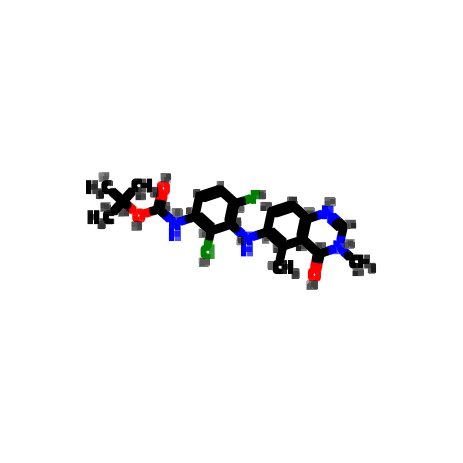 Cc1c(Nc2c(F)ccc(NC(=O)OC(C)(C)C)c2Cl)ccc2ncn(C)c(=O)c12